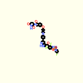 O=C1CCC(N2Cc3cc(OC4CC5(C4)CN(c4ccc(-c6cnc7[nH]cc(C(=O)c8c(F)ccc(NS(=O)(=O)N9CC[C@@H](F)C9)c8F)c7c6)cc4)C5)ccc3C2=O)C(=O)N1